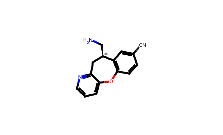 N#Cc1ccc2c(c1)[C@H](CN)Cc1ncccc1O2